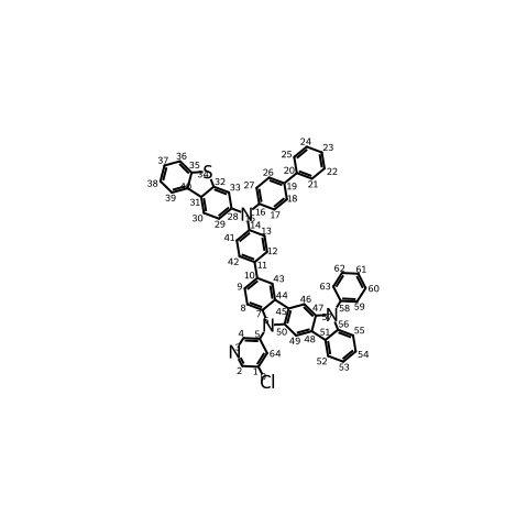 Clc1cncc(-n2c3ccc(-c4ccc(N(c5ccc(-c6ccccc6)cc5)c5ccc6c(c5)sc5ccccc56)cc4)cc3c3cc4c(cc32)c2ccccc2n4-c2ccccc2)c1